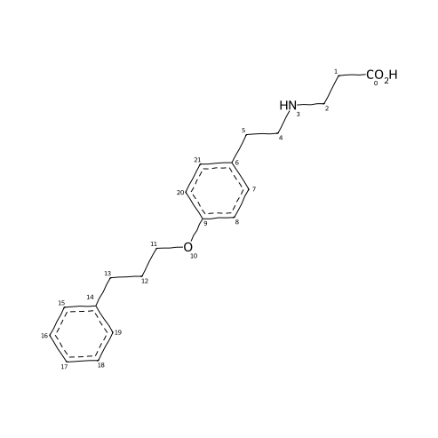 O=C(O)CCNCCc1ccc(OCCCc2ccccc2)cc1